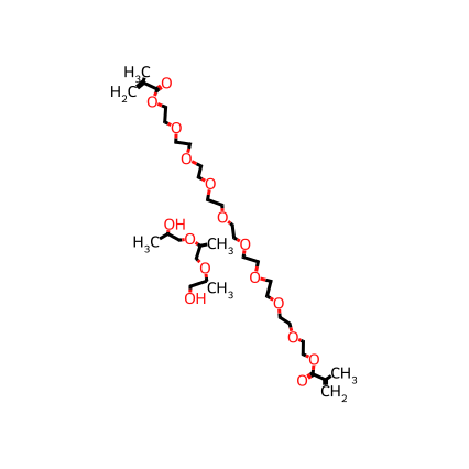 C=C(C)C(=O)OCCOCCOCCOCCOCCOCCOCCOCCOCCOC(=O)C(=C)C.CC(O)COC(C)COC(C)CO